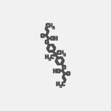 CC=CC(=O)C(O)Oc1ccc(C(C)(C)c2ccc(OC(O)C(=O)C=CC)cc2)cc1